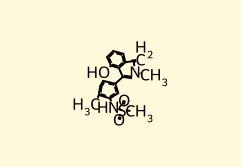 C=C1c2cccc(O)c2C(c2ccc(C)c(NS(C)(=O)=O)c2)=CN1C